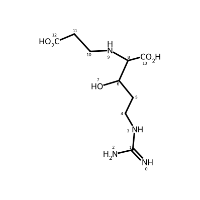 N=C(N)NCCC(O)C(NCCC(=O)O)C(=O)O